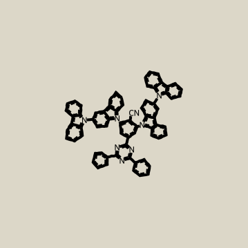 N#Cc1c(-n2c3ccccc3c3cc(-n4c5ccccc5c5ccccc54)ccc32)cc(-c2nc(-c3ccccc3)nc(-c3ccccc3)n2)cc1-n1c2ccccc2c2cc(-n3c4ccccc4c4ccccc43)ccc21